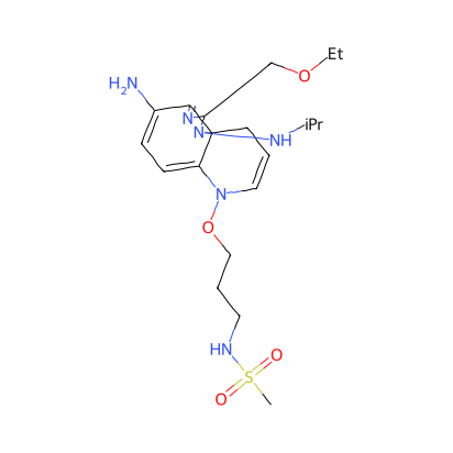 CCOCC1N=C2C(N)=CC=C3N(OCCCNS(C)(=O)=O)C=CCC32N1NC(C)C